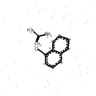 C=C(N)N.Clc1cccc2ccccc12